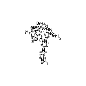 CCc1cc(Nc2ncc(Br)c(Nc3ccc4c(c3P(C)(C)=O)OCCO4)n2)c(OC)cc1N1CCC(N2CC3CN(C)CC3C2)CC1